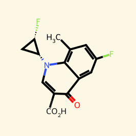 Cc1cc(F)cc2c(=O)c(C(=O)O)cn([C@@H]3C[C@@H]3F)c12